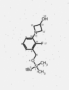 CC(C)(C)[Si](C)(C)OCc1cccc(N2CC(O)C2)c1F